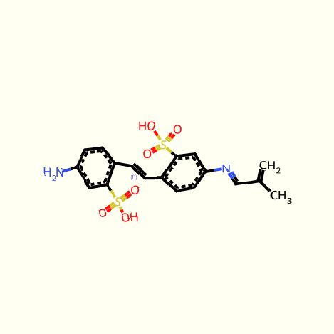 C=C(C)C=Nc1ccc(/C=C/c2ccc(N)cc2S(=O)(=O)O)c(S(=O)(=O)O)c1